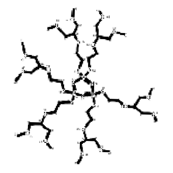 COCC(COC)OCCSP1(SCCOC(COC)COC)=NP(SCCOC(COC)COC)(SCCOC(COC)COC)=NP(SCCOC(COC)COC)(SCCOC(COC)COC)=N1